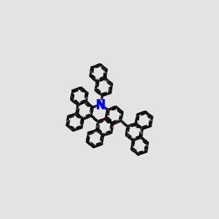 c1ccc2cc(N(c3ccc(-c4cc5ccccc5c5ccccc45)cc3)c3c(-c4cccc5ccccc45)c4ccccc4c4ccccc34)ccc2c1